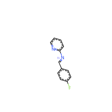 Fc1ccc(/C=N/c2ccccn2)cc1